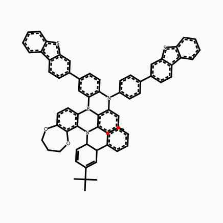 Cc1cc2c3c(c1)N(C1C=CC(C(C)(C)C)=CC1c1ccccc1)c1c(ccc4c1OCCCO4)B3c1cc(-c3ccc4c(c3)sc3ccccc34)ccc1N2c1ccc(-c2ccc3c(c2)sc2ccccc23)cc1